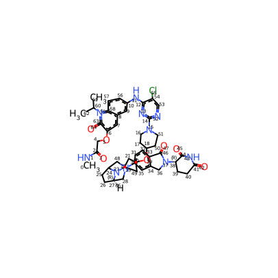 CNC(=O)COc1cc2cc(Nc3nc(N4CCC(OC5CC(N6C7CC[C@@H]6CN(c6ccc8c(c6)CN([C@@H]6CCC(=O)NC6=O)C8=O)C7)C5)CC4)ncc3Cl)ccc2n(C(C)C)c1=O